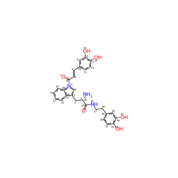 N[C@@H](Cc1cn(C(=O)C=Cc2ccc(O)c(O)c2)c2ccccc12)C(=O)NCCc1ccc(O)c(O)c1